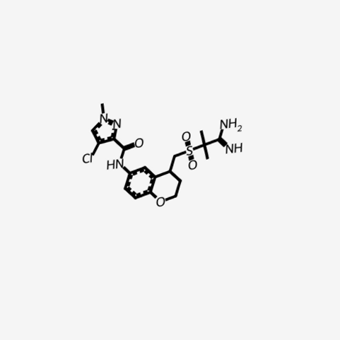 Cn1cc(Cl)c(C(=O)Nc2ccc3c(c2)C(CS(=O)(=O)C(C)(C)C(=N)N)CCO3)n1